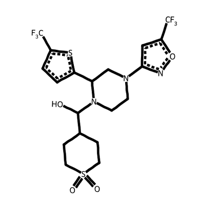 O=S1(=O)CCC(C(O)N2CCN(c3cc(C(F)(F)F)on3)CC2c2ccc(C(F)(F)F)s2)CC1